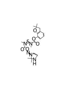 CN(SN(C)C(=O)Oc1cccc2c1OC(C)(C)C2)C(=O)ON=[N+]1C=CNC1(C)C